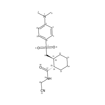 CN(C)c1ccc(S(=O)(=O)C[C@H]2CCCC[C@@H]2C(=O)NCC#N)cc1